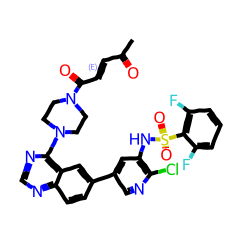 CC(=O)/C=C/C(=O)N1CCN(c2ncnc3ccc(-c4cnc(Cl)c(NS(=O)(=O)c5c(F)cccc5F)c4)cc23)CC1